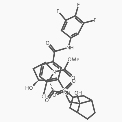 COC(=O)N1CC[C@H](O)[C@H]1C(=O)NCC1(O)C2CCC1CC(S(=O)(=O)c1cc(C(=O)Nc3cc(F)c(F)c(F)c3)ccc1Cl)C2